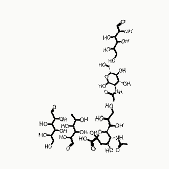 CC(=O)N[C@@H]1[C@@H](O)CC(O)(C(=O)O)O[C@H]1C(O)C(O)CO.CC(=O)N[C@H]1C(O)O[C@H](CO)[C@@H](O)[C@@H]1O.CC(O)C(O)C(O)C(O)C=O.O=CC(O)C(O)C(O)C(O)CO.O=CC(O)C(O)C(O)C(O)CO